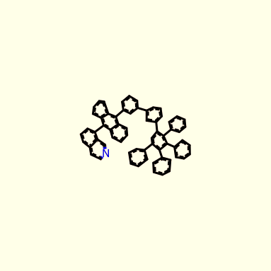 c1ccc(-c2cc(-c3cccc(-c4cccc(-c5c6ccccc6c(-c6cccc7ccncc67)c6ccccc56)c4)c3)c(-c3ccccc3)c(-c3ccccc3)c2-c2ccccc2)cc1